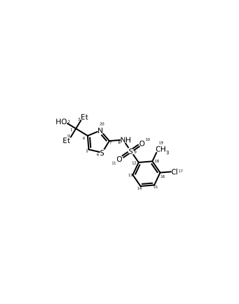 CCC(O)(CC)c1csc(NS(=O)(=O)c2cccc(Cl)c2C)n1